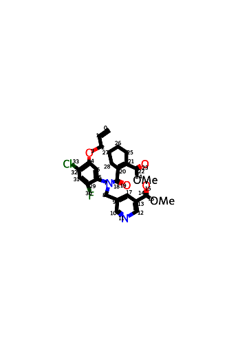 C=CCOc1cc(N(Cc2cncc(C(=O)OC)c2)C(=O)C2=C(C(=O)OC)CCCC2)c(F)cc1Cl